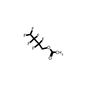 CC(=O)OCC(F)(F)C(F)(F)C(F)F